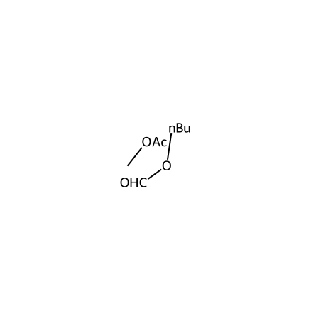 CCCCOC=O.COC(C)=O